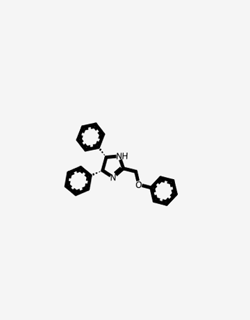 c1ccc(OCC2=N[C@H](c3ccccc3)[C@H](c3ccccc3)N2)cc1